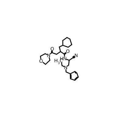 CCN(Cc1ccccc1)CC(C#N)NC(=O)C(CC(=O)N1CCOCC1)CC1CCCCC1